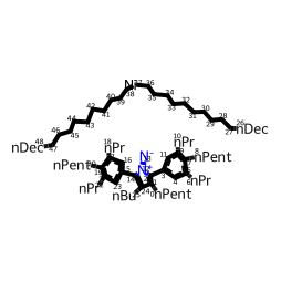 CCCCCC1=C(c2cc(CCC)c(CCCCC)c(CCC)c2)[N+](=[N-])C(c2cc(CCC)c(CCCCC)c(CCC)c2)=C1CCCC.CCCCCCCCCCCCCCCCCCC[CH2][Ni][CH2]CCCCCCCCCCCCCCCCCCC